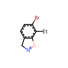 CCc1c(Br)ccc2c1B=NC2